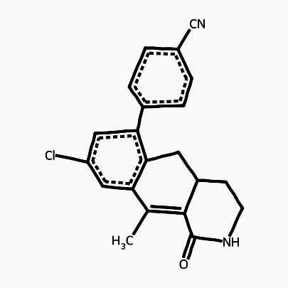 CC1=C2C(=O)NCCC2Cc2c1cc(Cl)cc2-c1ccc(C#N)cc1